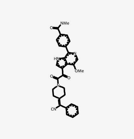 [C-]#[N+]C(=C1CCN(C(=O)C(=O)c2c[nH]c3c(-c4ccc(C(=O)NC)cc4)ncc(OC)c23)CC1)c1ccccc1